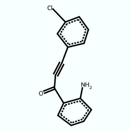 Nc1ccccc1C(=O)C#Cc1cccc(Cl)c1